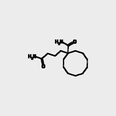 NC(=O)CCCC1(C(N)=O)CCCCCCCCC1